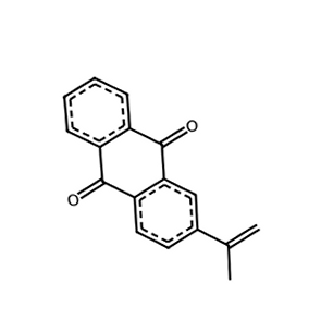 C=C(C)c1ccc2c(c1)C(=O)c1ccccc1C2=O